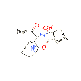 COC(=O)C(C1CC2CCC(C1)N2)N1C(=O)c2ccccc2C1O